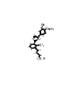 CC(C)Oc1ccc(-c2nc(-c3cccc(CCCC(=O)O)c3C(F)(F)F)no2)cc1C#N